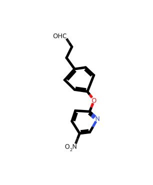 O=CCCc1ccc(Oc2ccc([N+](=O)[O-])cn2)cc1